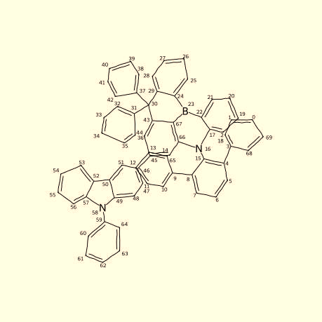 c1ccc(-c2cccc(-c3ccccc3)c2N2c3ccccc3B3c4ccccc4C(c4ccccc4)(c4ccccc4)c4cc(-c5ccc6c(c5)c5ccccc5n6-c5ccccc5)cc2c43)cc1